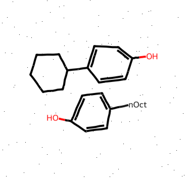 CCCCCCCCc1ccc(O)cc1.Oc1ccc(C2CCCCC2)cc1